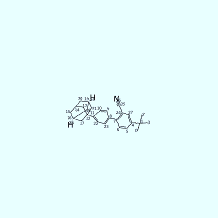 CC(C)(C)c1ccc(-c2ccc(C34CC5C[C@H](C3)C[C@@H](C5)C4)cc2)c(C#N)c1